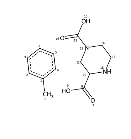 Cc1ccccc1.O=C(O)C1CN(C(=O)O)CCN1